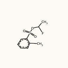 Cc1ccccc1S(=O)(=O)OC(C)F